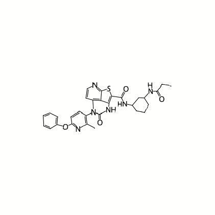 CCC(=O)NC1CCCC(NC(=O)c2sc3nccc4c3c2NC(=O)N4c2ccc(Oc3ccccc3)nc2C)C1